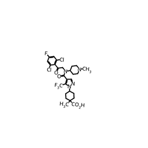 CN1CCC(N(CC(=O)c2c(Cl)cc(F)cc2Cl)C(=O)c2cnn(C3CCC(C)(C(=O)O)CC3)c2C(F)(F)F)CC1